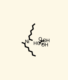 CCCCCC[CH](C)[Ni][CH](C)CCCCCC.O=P(O)(O)O